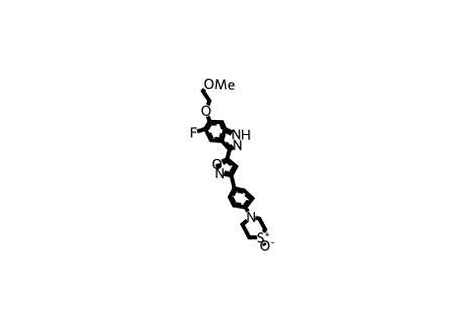 COCCOc1cc2[nH]nc(-c3cc(-c4ccc(N5CC[S+]([O-])CC5)cc4)no3)c2cc1F